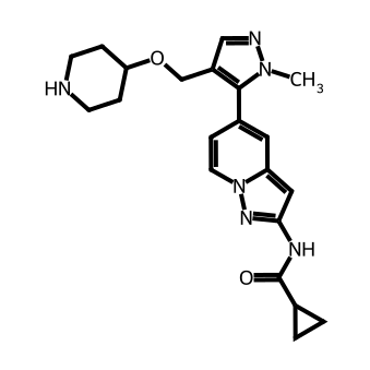 Cn1ncc(COC2CCNCC2)c1-c1ccn2nc(NC(=O)C3CC3)cc2c1